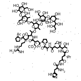 CC(=O)[C@@H]1CCCN1C(=O)[C@H](CCCNC(=N)N)CC(=O)[C@@H](NC(=O)[C@H](CC(=O)O)CC(=O)[C@@H]1CCCN1C(=O)[C@H](C)NC(=O)[C@H](CO)CC(=O)[C@@H](NC(=O)[C@@H](CC(=O)CNC(=O)[C@@H](N)Cc1cnc[nH]1)C(C)C)C(C)O)C(C)O[C@H]1OC(CO[C@@H]2OC(CO)[C@@H](O[C@@H]3OC(CO)[C@H](O)[C@H](O)C3O)[C@H](O)C2C)[C@H](O)[C@H](O[C@@H]2OC(CO)[C@H](O)[C@H](O[C@]3(C(=O)O)C[C@@H](O)[C@@H](C)C([C@H](O)[C@H](O)CO)O3)C2O)C1C